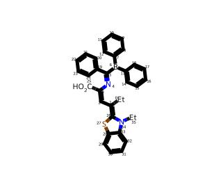 CCC(C=C(N=C(B(c1ccccc1)c1ccccc1)c1ccccc1)C(=O)O)=C1Sc2ccccc2N1CC